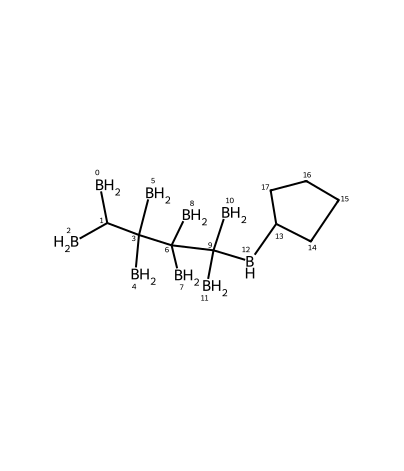 BC(B)C(B)(B)C(B)(B)C(B)(B)BC1CCCC1